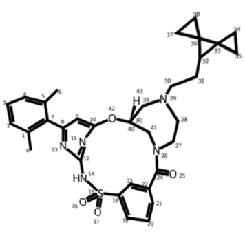 Cc1cccc(C)c1-c1cc2nc(n1)NS(=O)(=O)c1cccc(c1)C(=O)N1CCN(CCC3C4(CC4)C34CC4)C[C@H](C1)O2